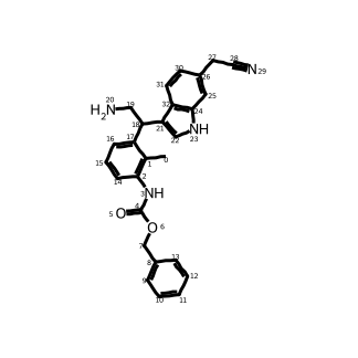 Cc1c(NC(=O)OCc2ccccc2)cccc1C(CN)c1c[nH]c2cc(CC#N)ccc12